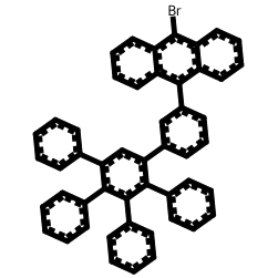 Brc1c2ccccc2c(-c2cccc(-c3cc(-c4ccccc4)c(-c4ccccc4)c(-c4ccccc4)c3-c3ccccc3)c2)c2ccccc12